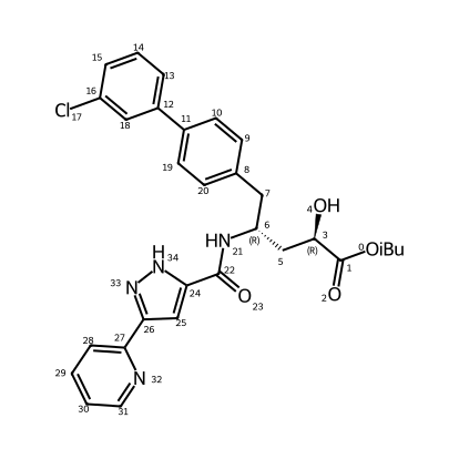 CC(C)COC(=O)[C@H](O)C[C@@H](Cc1ccc(-c2cccc(Cl)c2)cc1)NC(=O)c1cc(-c2ccccn2)n[nH]1